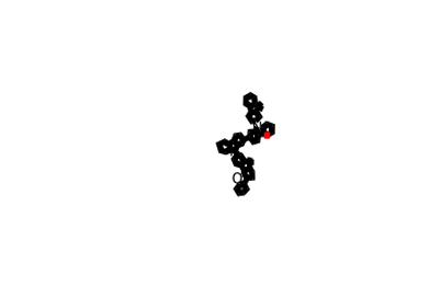 CC1(C)c2ccccc2-c2ccc(-n3c4ccccc4c4ccc(-c5ccc6c7ccccc7n(-c7ccc8c(c7)C(C)(C)c7ccc9c(oc%10ccccc%109)c7-8)c6c5)cc43)cc21